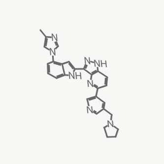 Cc1cn(-c2cccc3[nH]c(-c4n[nH]c5ccc(-c6cncc(CN7CCCC7)c6)nc45)cc23)cn1